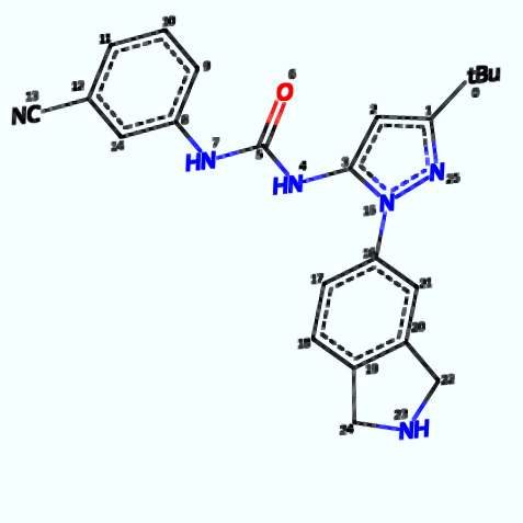 CC(C)(C)c1cc(NC(=O)Nc2cccc(C#N)c2)n(-c2ccc3c(c2)CNC3)n1